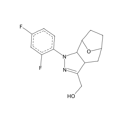 OCC1=NN(c2ccc(F)cc2F)C2C3CCC(CC12)O3